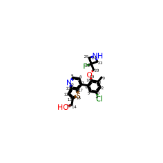 Cc1cc(Cl)cc(-c2ccnc3cc(CO)sc23)c1OCC1(F)CNC1